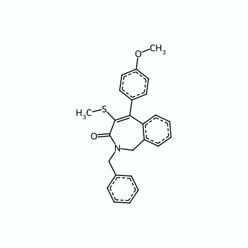 COc1ccc(C2=C(SC)C(=O)N(Cc3ccccc3)Cc3ccccc32)cc1